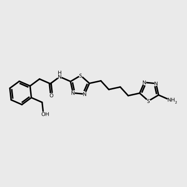 Nc1nnc(CCCCc2nnc(NC(=O)Cc3ccccc3CO)s2)s1